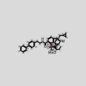 CO[C@@]12CC[C@@]3(CC1[C@@](C)(O)C(C)(C)C)[C@H]1Cc4ccc(C(=O)NCCc5ccc(-c6ccccc6)cc5)c5c4[C@@]3(CCN1CC1CC1)[C@H]2O5